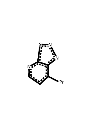 CC(C)c1ccnc2snnc12